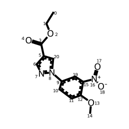 CCOC(=O)c1cnn(-c2ccc(OC)c([N+](=O)[O-])c2)c1